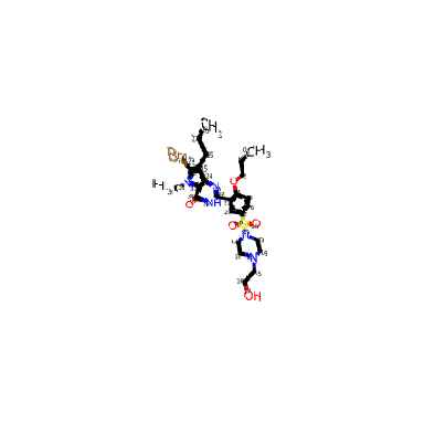 CCCOc1ccc(S(=O)(=O)N2CCN(CCO)CC2)cc1-c1nc2c(CCC)c(Br)n(C)c2c(=O)[nH]1